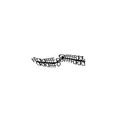 O=C(OOC(=O)C(F)(F)C(F)(F)C(F)(F)C(F)(F)C(F)(Cl)C(F)(Cl)C(F)(Cl)C(F)(Cl)C(F)(F)Cl)C(F)(F)C(F)(F)C(F)(F)C(F)(F)C(F)(Cl)C(F)(Cl)C(F)(Cl)C(F)(Cl)C(F)(F)Cl